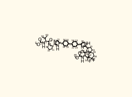 COC(=O)N[C@H](C(=O)N1CCC[C@H]1c1ncc(-c2ccc(-c3ccc(-c4c[nH]c(C5CCC6(CCC(F)(F)CC6)N5C(=O)[C@@H](NC(=O)OC)C(C)C)n4)cc3)cc2)[nH]1)C(C)C